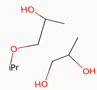 CC(O)CO.CC(O)COC(C)C